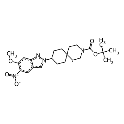 COc1cc2nn(C3CCC4([CH]CN(C(=O)OC(C)(C)C)CC4)CC3)cc2cc1[N+](=O)[O-]